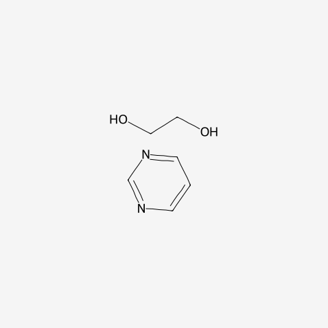 OCCO.c1cncnc1